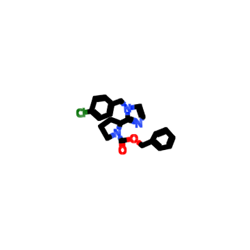 O=C(OCc1ccccc1)N1CCCC1c1nccn1Cc1ccc(Cl)cc1